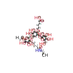 C#CCNC(=O)CCCCCO[C@H]1[C@@H](O)[C@@H](O)[C@@H](OC)O[C@@H]1CO[C@H]1C[C@H](CO[C@H]2O[C@H](CO)[C@@H](O)[C@@H](O)[C@H]2O)[C@@H](OCCCCCC(=O)O)[C@@H](O)[C@H]1O